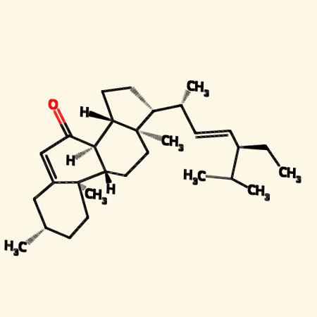 CC[C@H](/C=C/[C@@H](C)[C@H]1CC[C@H]2[C@@H]3C(=O)C=C4C[C@@H](C)CC[C@]4(C)[C@H]3CC[C@]12C)C(C)C